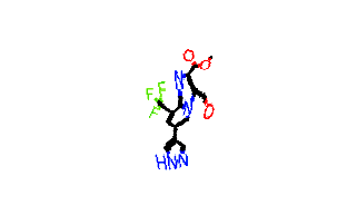 COC(=O)c1nc2c(C(F)(F)F)cc(-c3cn[nH]c3)cn2c1C=O